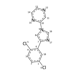 Clc1ccc(Cl)c(-c2cn(-c3cnccn3)cn2)c1